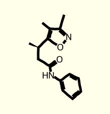 Cc1noc([C@H](C)CC(=O)Nc2ccccc2)c1C